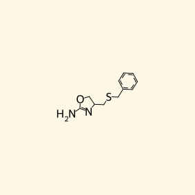 NC1=NC(CSCc2ccccc2)CO1